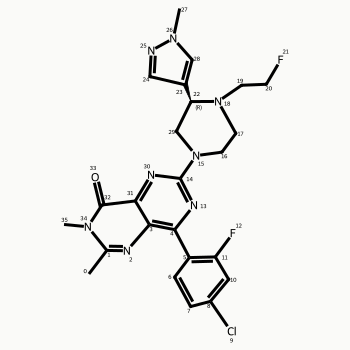 Cc1nc2c(-c3ccc(Cl)cc3F)nc(N3CCN(CCF)[C@H](c4cnn(C)c4)C3)nc2c(=O)n1C